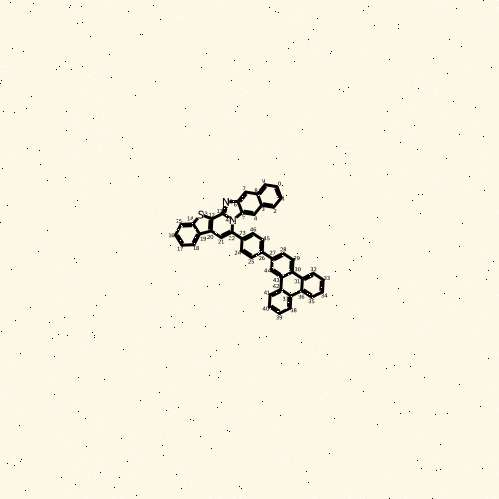 c1ccc2cc3c(cc2c1)nc1c2sc4ccccc4c2cc(-c2ccc(-c4ccc5c6ccccc6c6ccccc6c5c4)cc2)n31